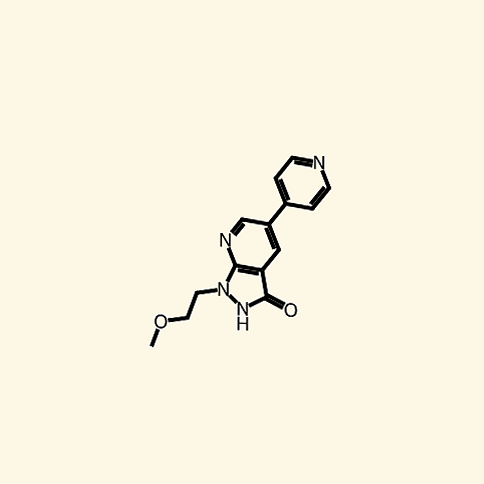 COCCn1[nH]c(=O)c2cc(-c3ccncc3)cnc21